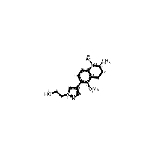 COc1c(-c2cnn(CCO)c2)ccc2c1CC[C@H](C)N2C(C)=O